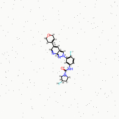 O=C(Nc1ccc(F)c(-n2cc3cc(C4=CCOCC4)cnc3n2)c1)N1CC[C@@H](F)C1